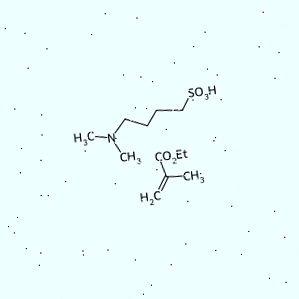 C=C(C)C(=O)OCC.CN(C)CCCCS(=O)(=O)O